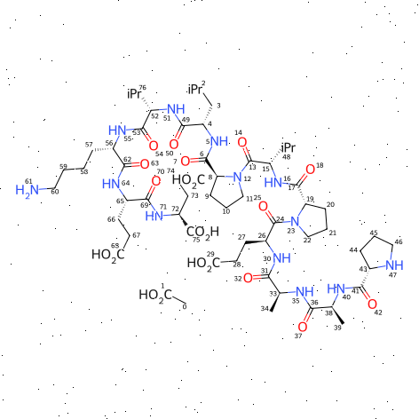 CC(=O)O.CC(C)C[C@H](NC(=O)[C@@H]1CCCN1C(=O)[C@@H](NC(=O)[C@@H]1CCCN1C(=O)[C@H](CCC(=O)O)NC(=O)[C@H](C)NC(=O)[C@H](C)NC(=O)[C@@H]1CCCN1)C(C)C)C(=O)N[C@H](C(=O)N[C@@H](CCCCN)C(=O)N[C@@H](CCC(=O)O)C(=O)N[C@@H](CC(=O)O)C(=O)O)C(C)C